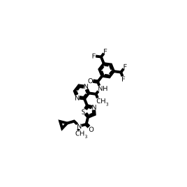 CC(NC(=O)c1cc(C(F)F)cc(C(F)F)c1)c1nccnc1-c1ncc(C(=O)N(C)CC2CC2)s1